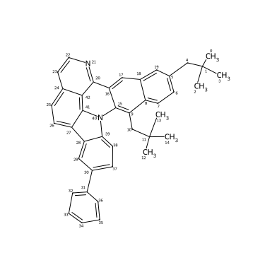 CC(C)(C)Cc1ccc2c(CC(C)(C)C)c3c(cc2c1)c1nccc2ccc4c5cc(-c6ccccc6)ccc5n3c4c21